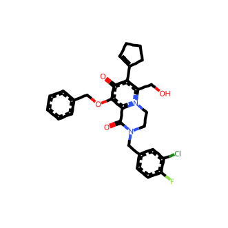 O=C1c2c(OCc3ccccc3)c(=O)c(C3=CCCC3)c(CO)n2CCN1Cc1ccc(F)c(Cl)c1